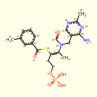 C/C(=C(\CCOP(=O)(O)O)SC(=O)c1cccc(C)c1)N(C=O)Cc1cnc(C)nc1N